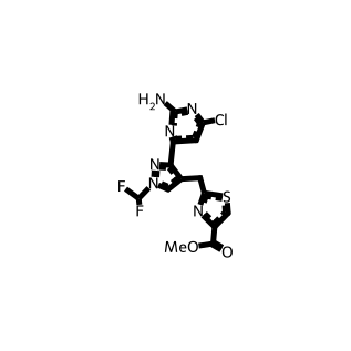 COC(=O)c1csc(Cc2cn(C(F)F)nc2-c2cc(Cl)nc(N)n2)n1